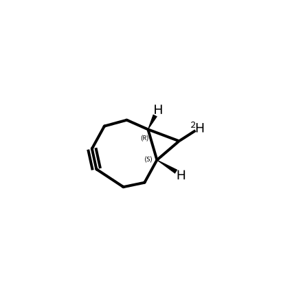 [2H]C1[C@H]2CCC#CCC[C@@H]12